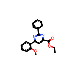 CCOC(=O)c1cc(-c2ccccc2OC)nc(-c2ccccc2)n1